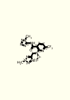 CCON(Cc1nnn(C)n1)c1nc(C(F)(F)F)ccc1C(=O)Nc1nnnn1C